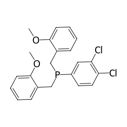 COc1ccccc1CP(Cc1ccccc1OC)c1ccc(Cl)c(Cl)c1